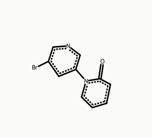 O=c1ccccn1-c1cncc(Br)c1